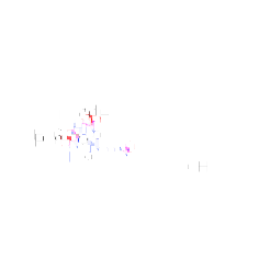 CCCCCCCCCCCCCCCC(=O)NCCCCCCN1c2cccc(NC(=O)OC(C)(C)C)c2-c2ccc(NC(=O)OC(C)(C)C)cc2C1c1ccccc1